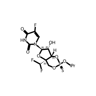 CC(C)OP1(=S)OC[C@@]2(C(F)F)O[C@@H](n3cc(F)c(=O)[nH]c3=O)[C@H](O)[C@@H]2O1